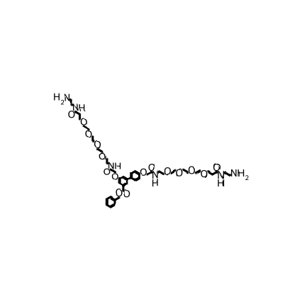 NCCNC(=O)CCOCCOCCOCCOCCNC(=O)COc1ccc(-c2cc(OCC(=O)NCCOCCOCCOCCOCCC(=O)NCCN)cc(C(=O)OCc3ccccc3)c2)cc1